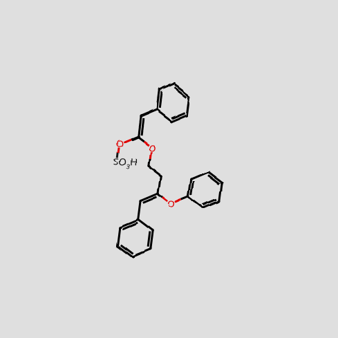 O=S(=O)(O)OC(=Cc1ccccc1)OCCC(=Cc1ccccc1)Oc1ccccc1